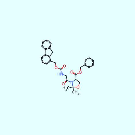 CC1(C)OC[C@@H](C(=O)OCc2ccccc2)N1C(=O)CNC(=O)OCc1cccc2c1Cc1ccccc1-2